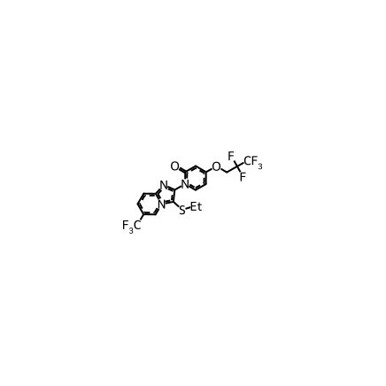 CCSc1c(-n2ccc(OCC(F)(F)C(F)(F)F)cc2=O)nc2ccc(C(F)(F)F)cn12